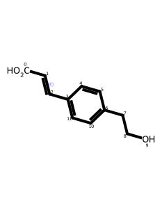 O=C(O)/C=C/c1ccc(CCO)cc1